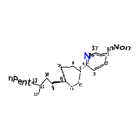 CCCCCCCCCc1ccc([C@H]2CC[C@H](CCC(C)CCCCC)CC2)nc1